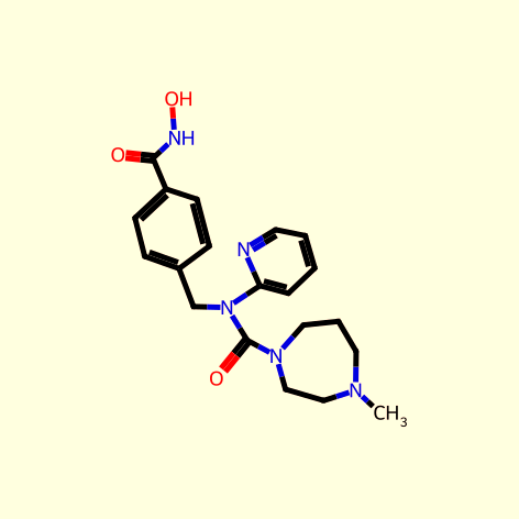 CN1CCCN(C(=O)N(Cc2ccc(C(=O)NO)cc2)c2ccccn2)CC1